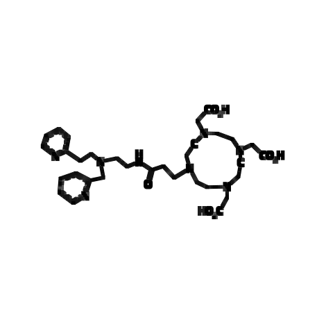 O=C(O)CN1CCN(CCC(=O)NCCN(CCc2ccccn2)Cc2ccccn2)CCN(CC(=O)O)CCN(CC(=O)O)CC1